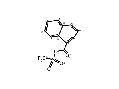 O=C(OS(=O)(=O)C(F)(F)F)c1cccc2ccccc12